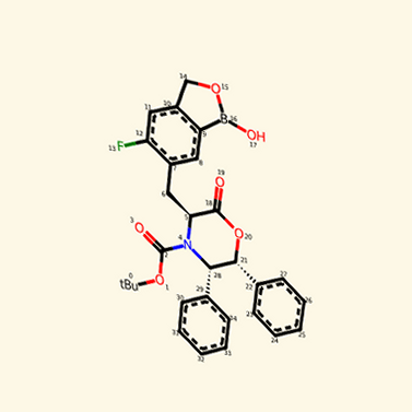 CC(C)(C)OC(=O)N1[C@@H](Cc2cc3c(cc2F)COB3O)C(=O)O[C@H](c2ccccc2)[C@@H]1c1ccccc1